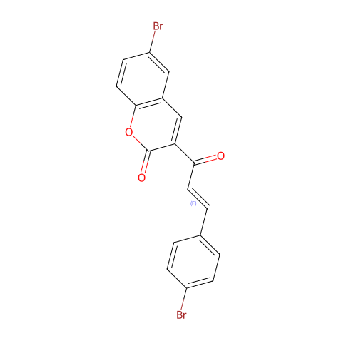 O=C(/C=C/c1ccc(Br)cc1)c1cc2cc(Br)ccc2oc1=O